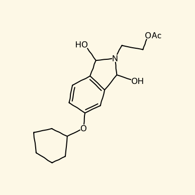 CC(=O)OCCN1C(O)c2ccc(OC3CCCCC3)cc2C1O